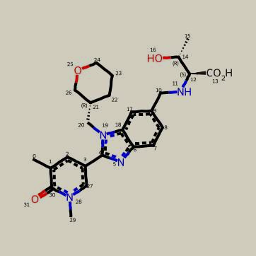 Cc1cc(-c2nc3ccc(CN[C@H](C(=O)O)[C@@H](C)O)cc3n2C[C@H]2CCCOC2)cn(C)c1=O